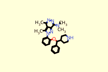 Cc1nnc(N(C)C)c2nn(-c3ccccc3OC(c3ccccc3)C3CCNCC3)c(C)c12